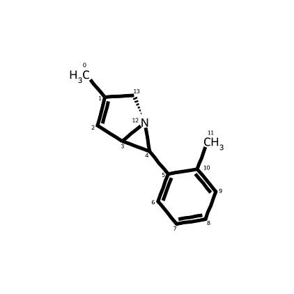 CC1=CC2C(c3ccccc3C)[N@@]2C1